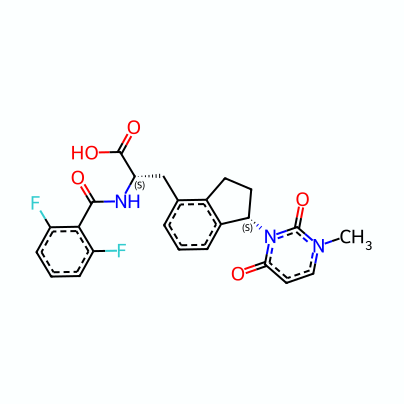 Cn1ccc(=O)n([C@H]2CCc3c(C[C@H](NC(=O)c4c(F)cccc4F)C(=O)O)cccc32)c1=O